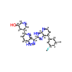 Cc1cc(F)cc(-c2ccnc3[nH]c(-c4n[nH]c5ccc(-c6cncc(O)c6)nc45)nc23)c1